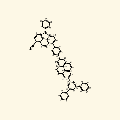 N#Cc1ccc2c3c1ccc1c(-c4ccc(-c5cc6ccc7cc(-c8nc(-c9ccccc9)cc(-c9ccccc9)n8)cc8ccc(c5)c6c78)cc4)ccc(c13)n2-c1ccccc1